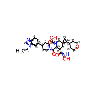 CCn1cnc2ccc(C3CCN(C(=O)[C@@H]4[C@@H](C(=O)NO)CC5(CC5C5CCOCC5)CN4C(=O)O)CC3)cc21